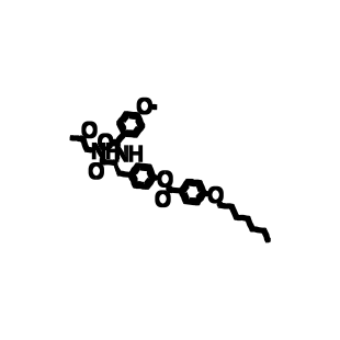 CCCCCCCOc1ccc(C(=O)Oc2ccc(C[C@H](NC(=O)c3ccc(OC)cc3)C(=O)NCC(C)=O)cc2)cc1